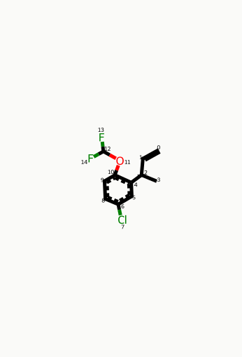 C=C[C](C)c1cc(Cl)ccc1OC(F)F